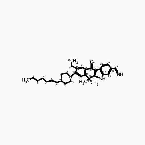 CCCCCCCC1CCN(c2cc3c(cc2CC)C(=O)c2c([nH]c4cc(C=N)ccc24)C3(C)C)CC1